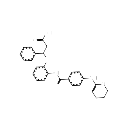 O=C(O)CC(Sc1ccccc1NC(=O)c1ccc(NC2=CCCCN2)cc1)c1ccccc1